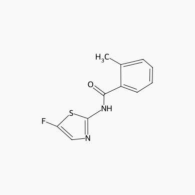 Cc1ccccc1C(=O)Nc1ncc(F)s1